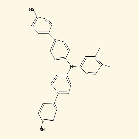 Cc1ccc(N(c2ccc(-c3ccc(S)cc3)cc2)c2ccc(-c3ccc(S)cc3)cc2)cc1C